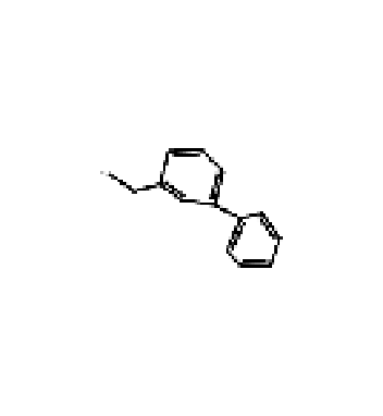 [CH2]Cc1cccc(-c2ccccc2)c1